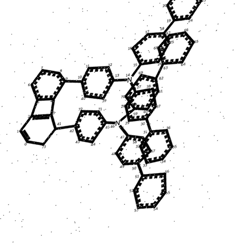 C1=CC2=C(c3c2cccc3-c2ccc(N(c3ccc(-c4ccccc4)cc3)c3ccc(-c4ccccc4)cc3)cc2)C(c2ccc(N(c3ccc(-c4ccccc4)cc3)c3ccc(-c4ccccc4)cc3)cc2)C1